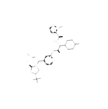 COC[C@H](c1ccnc(NC(=O)[C@@H](NC(=O)c2ccnn2C)C2CCC(Cl)CC2)c1)N1C[C@@H](C(F)(F)F)NC1=O